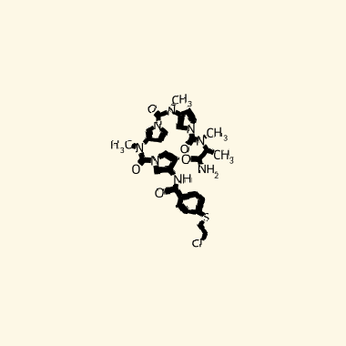 CC(C(N)=O)N(C)C(=O)n1ccc(N(C)C(=O)n2ccc(N(C)C(=O)n3ccc(NC(=O)c4ccc(SCCCl)cc4)c3)c2)c1